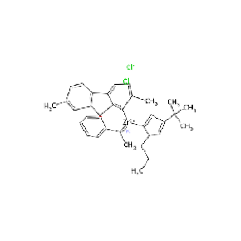 CCCC1C=C(C(C)(C)C)C=[C]1/[Zr+2](=[C](\C)c1ccccc1)[c]1c(C)ccc2c1Cc1cc(C)ccc1-2.[Cl-].[Cl-]